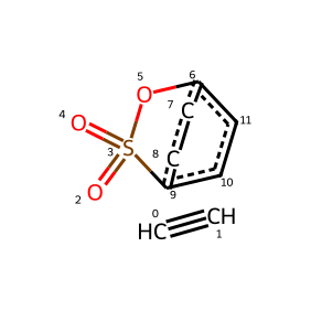 C#C.O=S1(=O)Oc2ccc1cc2